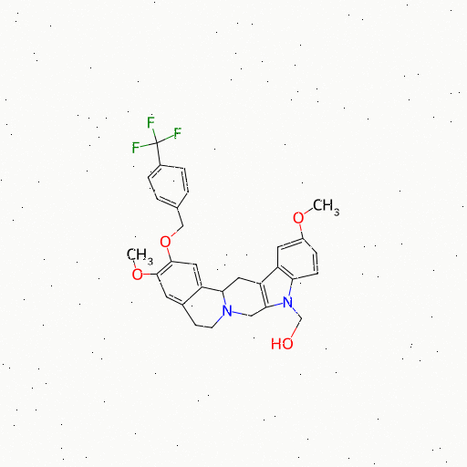 COc1ccc2c(c1)c1c(n2CO)CN2CCc3cc(OC)c(OCc4ccc(C(F)(F)F)cc4)cc3C2C1